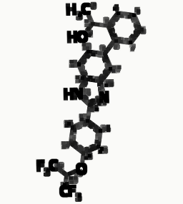 CC(O)c1ccccc1-c1ccc2[nH]c(-c3ccc(OC(C(F)(F)F)C(F)(F)F)cc3)nc2c1